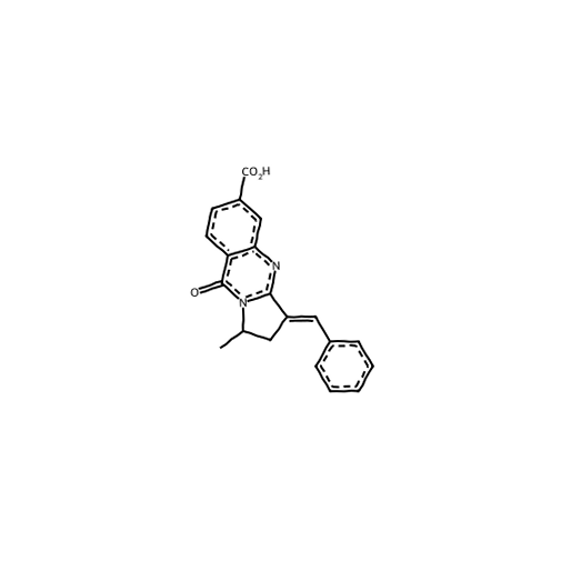 CC1C/C(=C\c2ccccc2)c2nc3cc(C(=O)O)ccc3c(=O)n21